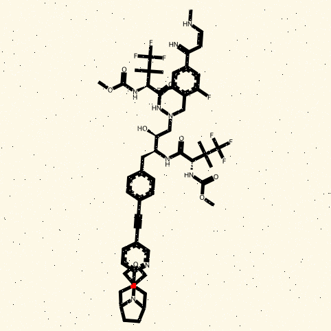 CN/C=C\C(=N)c1cc(F)c(CN(C[C@H](O)[C@H](Cc2ccc(C#Cc3ccc(N4CC5CCC(C4)N5C4COC4)nc3)cc2)NC(=O)[C@@H](NC(=O)OC)C(C)(C)C(F)(F)F)NC(=O)[C@@H](NC(=O)OC)C(C)(C)C(F)(F)F)c(F)c1